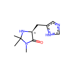 CN1C(=O)[C@H](Cc2cnc[nH]2)NC1(C)C